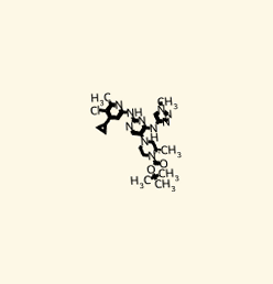 Cc1nc(Nc2ncc(N3CCN(C(=O)OC(C)(C)C)[C@H](C)C3)c(Nc3cn(C)nn3)n2)cc(C2CC2)c1Cl